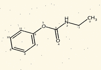 CCNC(=O)Oc1cc[c]cc1